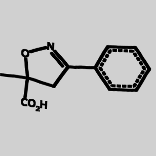 CC1(C(=O)O)CC(c2ccccc2)=NO1